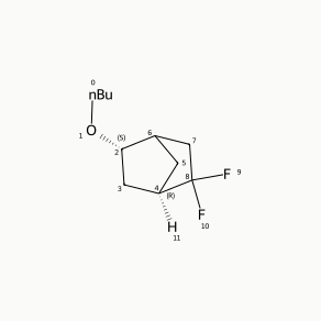 CCCCO[C@H]1C[C@H]2CC1CC2(F)F